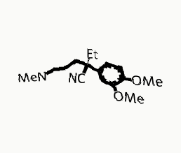 CC[C@](C#N)(CCCNC)c1ccc(OC)c(OC)c1